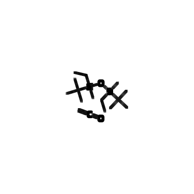 C=C=O.CC[Si](C)(O[Si](C)(CC)C(C)(C)C)C(C)(C)C